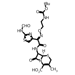 CC1=C(C(=O)O)N2C(=O)C(NC(=O)/C(=N/OCCNC(=O)OC(C)(C)C)c3csc(NC=O)n3)[C@H]2SC1